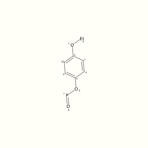 CCOc1ccc(OP=O)cc1